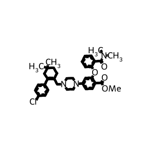 COC(=O)c1ccc(N2CCN(CC3=C(c4ccc(Cl)cc4)CC(C)(C)CC3)CC2)cc1Oc1ccccc1C(=O)N(C)C